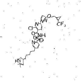 CC1(C)CC(CCCCCc2ccc(S(=O)(=O)NC(=O)c3ccc(-n4ccc(OCCC5CC5C(F)(F)F)n4)nc3Cl)nc2)CN1